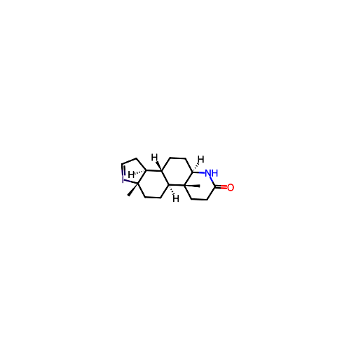 C[C@]12CCC(=O)N[C@@H]1CC[C@@H]1[C@@H]2CC[C@]2(C)I=CC[C@@H]12